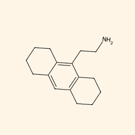 NCCc1c2c(cc3c1CCCC3)CCCC2